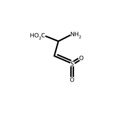 NC(C=S(=O)=O)C(=O)O